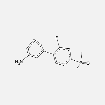 CP(C)(=O)c1ccc(-c2cccc(N)c2)c(F)c1